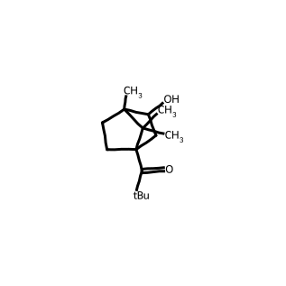 CC(C)(C)C(=O)C12CCC(C)(C(O)C1)C2(C)C